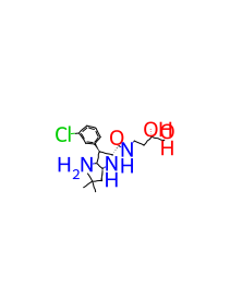 CC(C)(C)C[C@@H]1N[C@@H](C(=O)NCC[C@H](O)CO)[C@H](c2cccc(Cl)c2)C1N